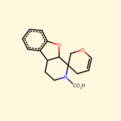 O=C(O)N1CCC2c3ccccc3OC2C12CC=COC2